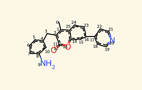 Cc1c(Cc2cccc(N)c2)c(=O)oc2cc(-c3ccncc3)ccc12